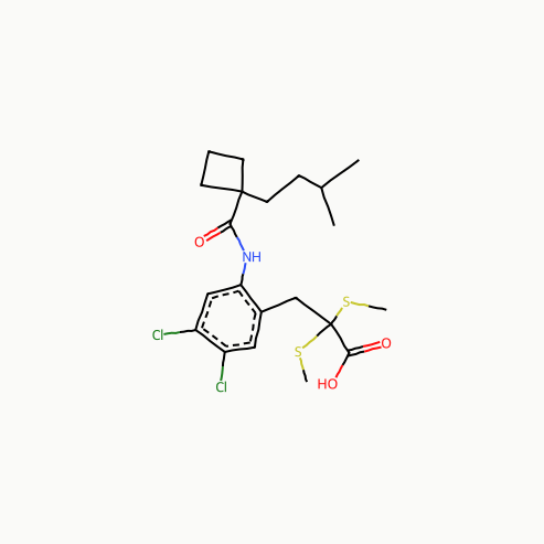 CSC(Cc1cc(Cl)c(Cl)cc1NC(=O)C1(CCC(C)C)CCC1)(SC)C(=O)O